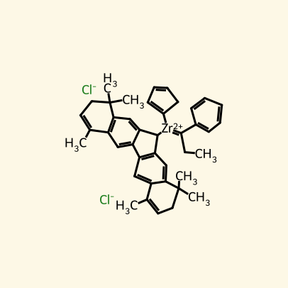 CC/[C](c1ccccc1)=[Zr+2](/[C]1=CC=CC1)[CH]1c2cc3c(cc2-c2cc4c(cc21)C(C)(C)CC=C4C)C(C)=CCC3(C)C.[Cl-].[Cl-]